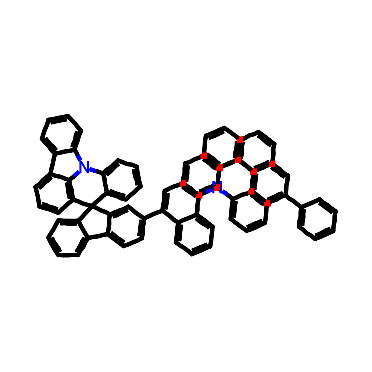 c1ccc(-c2ccc(-c3ccccc3N(c3ccccc3-c3ccccc3-c3ccccc3)c3ccc(-c4ccc5c(c4)C4(c6ccccc6-5)c5ccccc5-n5c6ccccc6c6cccc4c65)c4ccccc34)cc2)cc1